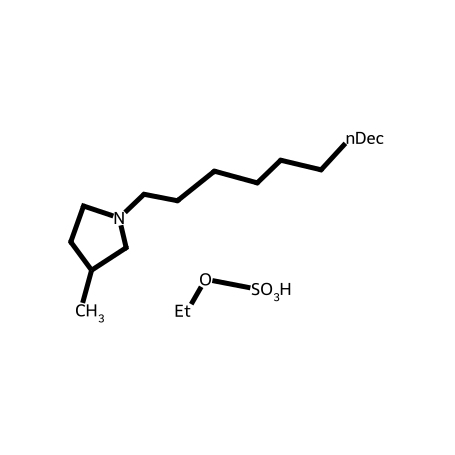 CCCCCCCCCCCCCCCCN1CCC(C)C1.CCOS(=O)(=O)O